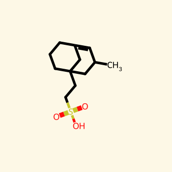 CC1C=C2CCCC(CCS(=O)(=O)O)(C2)C1